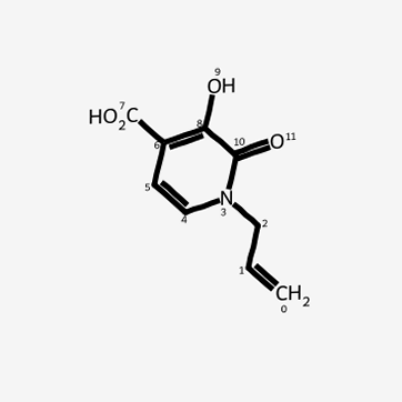 C=CCn1ccc(C(=O)O)c(O)c1=O